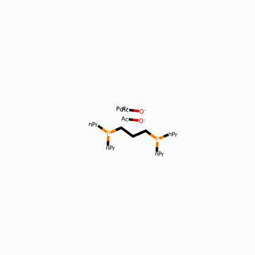 CC(=O)[O-].CC(=O)[O-].CCCP(CCC)CCCP(CCC)CCC.[Pd+2]